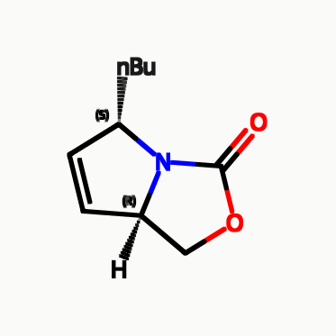 CCCC[C@H]1C=C[C@@H]2COC(=O)N12